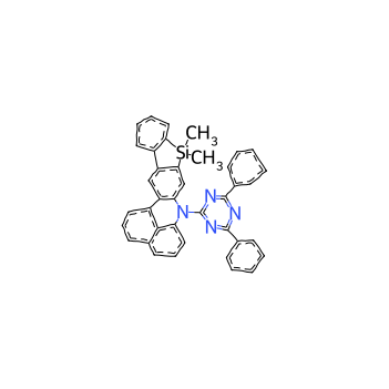 C[Si]1(C)c2ccccc2-c2cc3c(cc21)N(c1nc(-c2ccccc2)nc(-c2ccccc2)n1)c1cccc2cccc-3c12